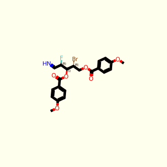 COc1ccc(C(=O)OC[C@@H](Br)[C@@H](OC(=O)c2ccc(OC)cc2)[C@H](F)C=N)cc1